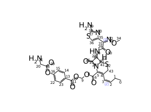 CC/C=C\C1=C(C(=O)OCOC(=O)c2ccc(OC(=O)CN)cc2)N2C(=O)[C@@H](NC(=O)/C(=N\OC)c3csc(N)n3)[C@H]2SC1